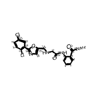 CNC(=O)c1ccccc1NC(=O)CNCc1cnc(-c2cc(Cl)ccc2Cl)o1